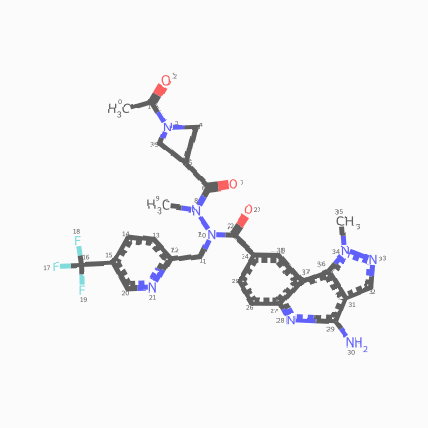 CC(=O)N1CC(C(=O)N(C)N(Cc2ccc(C(F)(F)F)cn2)C(=O)c2ccc3nc(N)c4cnn(C)c4c3c2)C1